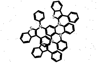 C1=CC2SC(N(c3ccccc3)c3cc4c5c(c3)N(C3=C(c6ccccc6)C6C=CC=CC6S3)c3ccccc3B5c3ccccc3N4C3=C(c4ccccc4)C4C=CC=CC4S3)=C(c3ccccc3)C2C=C1